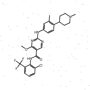 COc1nc(Nc2ccc(C3CCN(C)CC3)c(C)c2)ncc1C(=O)Nc1c(Cl)cccc1C(F)(F)F